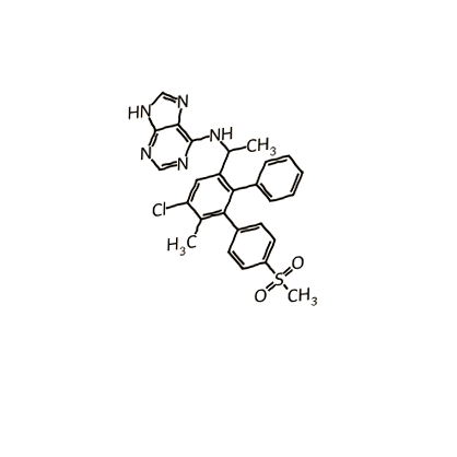 Cc1c(Cl)cc(C(C)Nc2ncnc3[nH]cnc23)c(-c2ccccc2)c1-c1ccc(S(C)(=O)=O)cc1